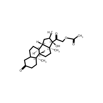 CC(=O)OCC(=O)[C@@]1(O)C(C)C[C@H]2[C@@H]3CCC4CC(=O)CC[C@]4(C)[C@@]3(F)CC[C@@]21C